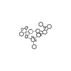 C1=CC(c2ccc3c(c2)sc2ccc4c5ccccc5n(-c5ccccc5)c4c23)CC2=C1C1(c3ccccc3Oc3ccccc31)c1cccc(-c3cc(-c4ccccc4)nc(-c4ccccc4)n3)c12